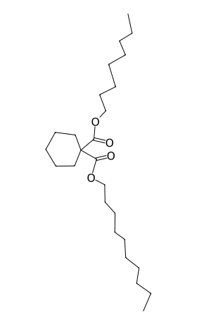 CCCCCCCCCCOC(=O)C1(C(=O)OCCCCCCCC)CCCCC1